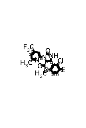 Cc1cc(C(F)(F)F)cc(N2C(=O)NC[C@H]2C(=O)N(C)c2ccc(F)c(Cl)c2)n1